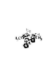 CCOP(=O)(CCC(c1cccc([Si](C)(C)C)c1)S(=O)(=O)c1ccccc1)OCC